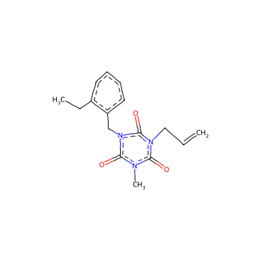 C=CCn1c(=O)n(C)c(=O)n(Cc2ccccc2CC)c1=O